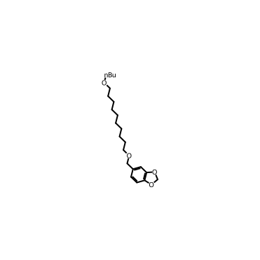 CCCCOCCCCCCCCCCOCc1ccc2c(c1)OCO2